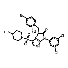 C[C@@]1(Cc2ccc(Br)cc2)C(=O)N(c2cc(Cl)cc(Cl)c2)c2ncc(S(=O)(=O)N3CCC(O)CC3)n21